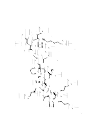 CCC(NC(=O)[C@H](CCCCN)NC(=O)[C@H](Cc1cnc[nH]1)NC(=O)[C@@H]1CCCN1C(=O)[C@@H](CCCN)NC(=O)CNC(=O)[C@@H](NC(=O)[C@@H](NC(=O)[C@@H](N)CCCCN)[C@@H](O)CN)[C@@H](O)CN)C(=O)N[C@@H](CCCCN)C(=O)NCCCCN